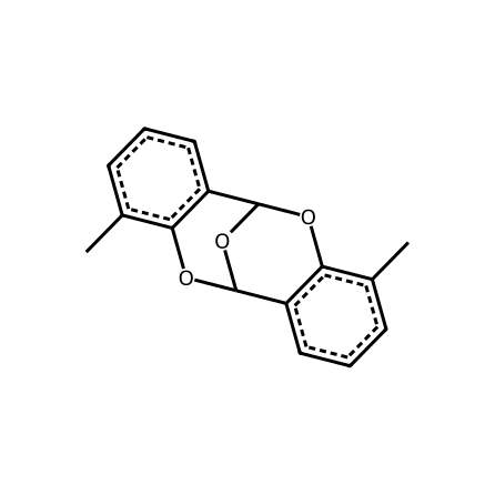 Cc1cccc2c1OC1OC2Oc2c(C)cccc21